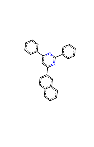 c1ccc(-c2cc(-c3ccc4ccccc4c3)nc(-c3ccccc3)n2)cc1